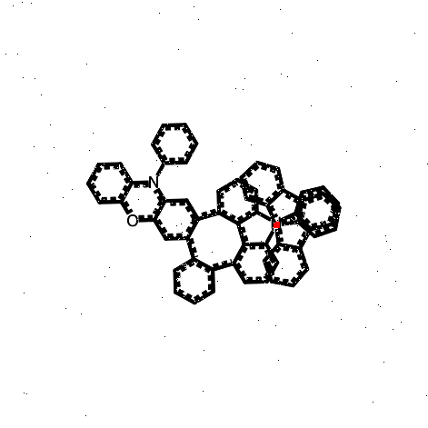 c1ccc(-n2c3ccccc3oc3cc4c5ccccc5c5cccc(-n6c7ccccc7c7ccccc76)c5c5c(-n6c7ccccc7c7ccccc76)cccc5c4cc32)cc1